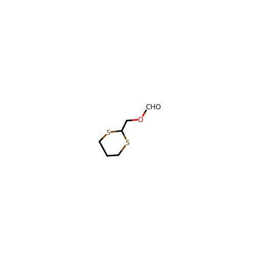 O=COCC1SCCCS1